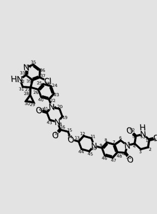 O=C1CCC(N2Cc3cc(N4CCC(OCC(=O)N5CCN(c6cccc(C7(C8CC8)CNc8nccc(Cl)c87)c6)C(=O)C5)CC4)ccc3C2=O)C(=O)N1